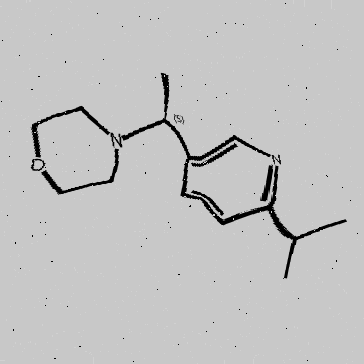 CC(C)c1ccc([C@H](C)N2CCOCC2)cn1